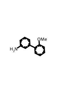 COc1ccccc1-c1cccc(N)c1